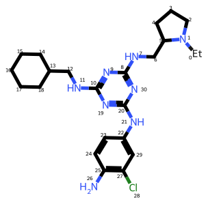 CCN1CCCC1CNc1nc(NCC2CCCCC2)nc(Nc2ccc(N)c(Cl)c2)n1